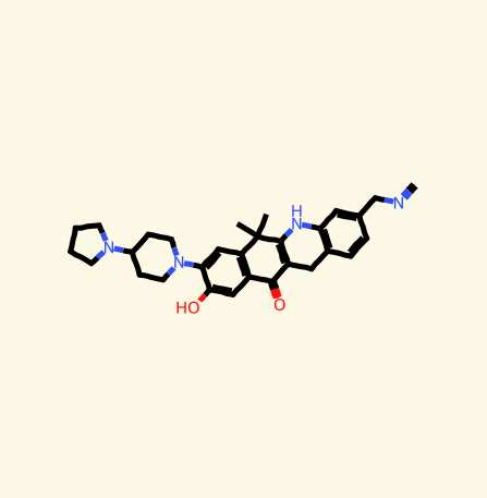 C=NCc1ccc2c(c1)NC1=C(C2)C(=O)c2cc(O)c(N3CCC(N4CCCC4)CC3)cc2C1(C)C